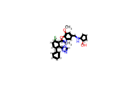 COc1cc(CNC2CCC[C@H]2O)cc2nc(-c3c(F)ccc(-c4ccccc4)c3-c3nncn3C)oc12